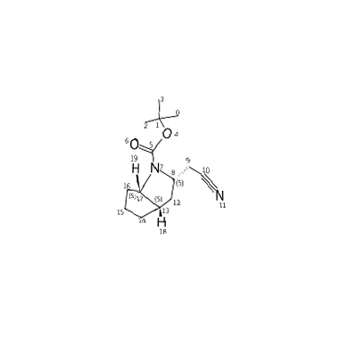 CC(C)(C)OC(=O)N1[C@H](CC#N)C[C@@H]2CCC[C@@H]21